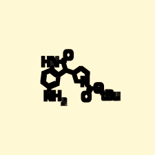 CC(C)(C)OC(=O)N1CCC(C2C(=O)Nc3ccc(N)cc32)C1